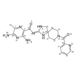 Cc1nc(C(=O)/N=C2\NCC3(CCN(C(=O)c4ccccn4)CC3)N2)c(N)nc1N